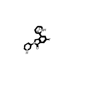 O=C1c2cc(F)cc(N3CC4CCC3CN4)c2CN1C1CCCNC1